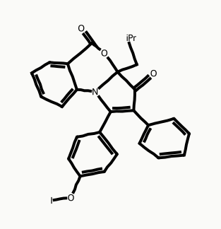 CC(C)CC12OC(=O)c3ccccc3N1C(c1ccc(OI)cc1)=C(c1ccccc1)C2=O